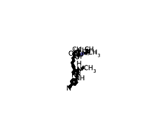 CCCNc1nc(Nc2ccc(C#N)cc2)ncc1C#CCCCNC(=O)[C@H](C)N(C)C(=O)/C=C/CN(C)C